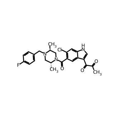 CC(=O)C(=O)c1c[nH]c2cc(Cl)c(C(=O)N3C[C@H](C)N(Cc4ccc(F)cc4)C[C@H]3C)cc12